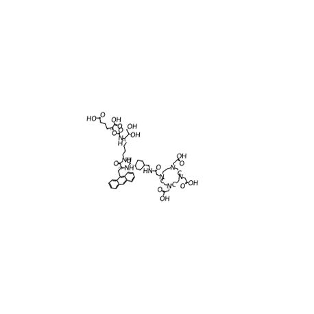 O=C(O)CCC[C@H](OC(=O)N[C@@H](CCCCNC(=O)[C@H](Cc1c2ccccc2cc2ccccc12)NC(=O)[C@H]1CC[C@H](CNC(=O)CN2CCN(CC(=O)O)CCN(CC(=O)O)CCN(CC(=O)O)CC2)CC1)C(O)CO)C(=O)O